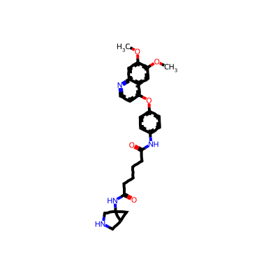 COc1cc2nccc(Oc3ccc(NC(=O)CCCCC(=O)NC45CNCC4C5)cc3)c2cc1OC